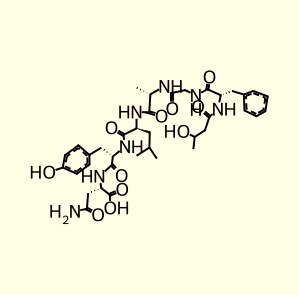 CC(C)C[C@H](NC(=O)[C@H](C)NC(=O)CNC(=O)[C@H](Cc1ccccc1)NC(=O)CC(C)O)C(=O)N[C@@H](Cc1ccc(O)cc1)C(=O)N[C@@H](CC(N)=O)C(=O)O